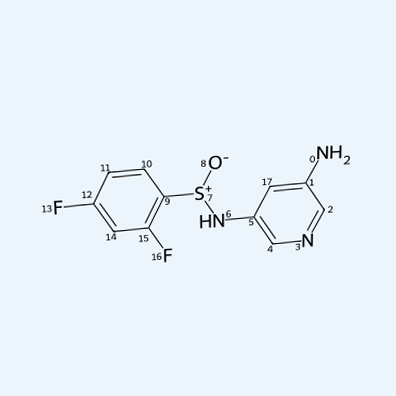 Nc1cncc(N[S+]([O-])c2ccc(F)cc2F)c1